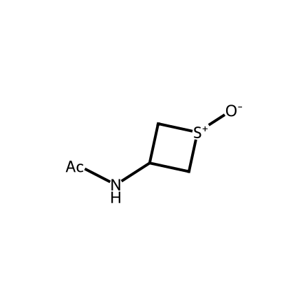 CC(=O)NC1C[S+]([O-])C1